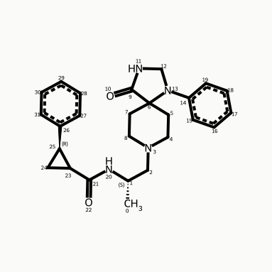 C[C@@H](CN1CCC2(CC1)C(=O)NCN2c1ccccc1)NC(=O)C1C[C@H]1c1ccccc1